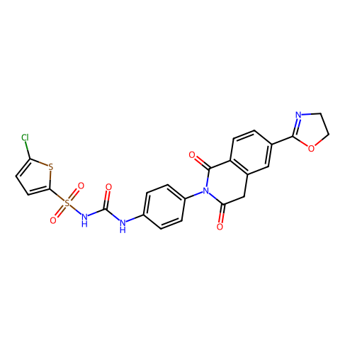 O=C(Nc1ccc(N2C(=O)Cc3cc(C4=NCCO4)ccc3C2=O)cc1)NS(=O)(=O)c1ccc(Cl)s1